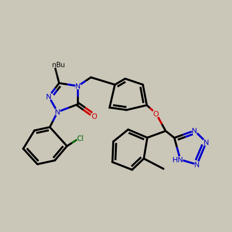 CCCCc1nn(-c2ccccc2Cl)c(=O)n1Cc1ccc(OC(c2nnn[nH]2)c2ccccc2C)cc1